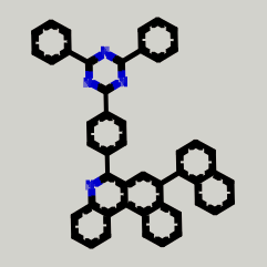 c1ccc(-c2nc(-c3ccccc3)nc(-c3ccc(-c4nc5ccccc5c5c4cc(-c4cccc6ccccc46)c4ccccc45)cc3)n2)cc1